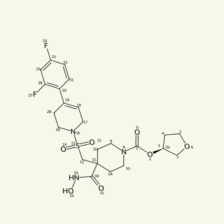 O=C(O[C@H]1CCOC1)N1CCC(CS(=O)(=O)N2CC=C(c3ccc(F)cc3F)CC2)(C(=O)NO)CC1